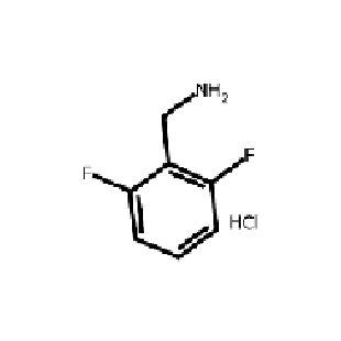 Cl.NCc1c(F)cccc1F